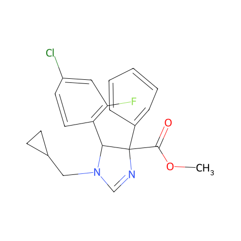 COC(=O)C1(c2ccccc2)N=CN(CC2CC2)C1c1ccc(Cl)cc1F